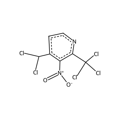 O=[N+]([O-])c1c(C(Cl)Cl)ccnc1C(Cl)(Cl)Cl